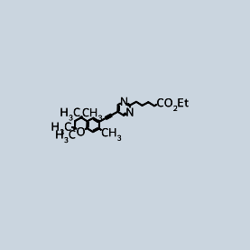 CCOC(=O)CCCCc1ncc(C#Cc2cc3c(cc2C)OC(C)(C)CC3(C)C)cn1